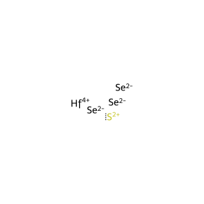 [Hf+4].[S+2].[Se-2].[Se-2].[Se-2]